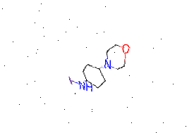 IN[C@H]1CC[C@H](N2CCOCC2)CC1